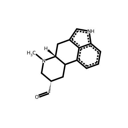 CN1C[C@@H](C=O)CC2c3cccc4[nH]cc(c34)C[C@H]21